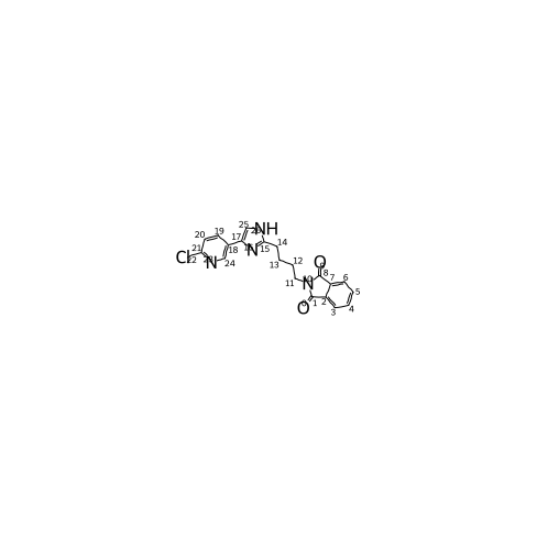 O=C1c2ccccc2C(=O)N1CCCCc1nc(-c2ccc(Cl)nc2)c[nH]1